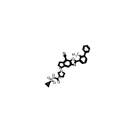 Cc1c(-c2ccccc2)cccc1-c1nc2cc3c(c(C#N)c2o1)CC[C@H]3N1CC[C@@H](C(=O)NS(=O)(=O)C2CC2)C1